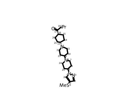 CSc1cnn(C2CCN(C3CCN([C@H]4CC[C@H](C(=O)C(C)C)CC4)CC3)CC2)c1